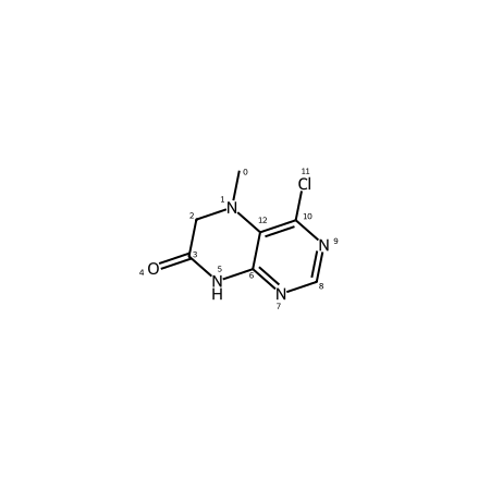 CN1CC(=O)Nc2ncnc(Cl)c21